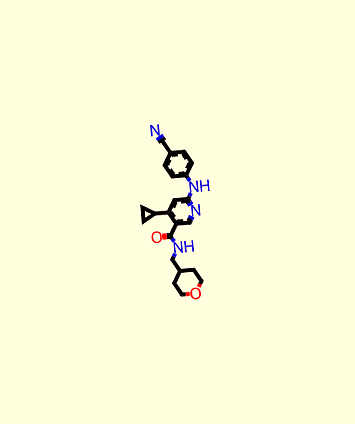 N#Cc1ccc(Nc2cc(C3CC3)c(C(=O)NCC3CCOCC3)cn2)cc1